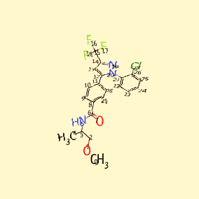 COCC(C)NC(=O)c1ccc(-c2cc(C(F)(F)F)nn2-c2ccccc2Cl)cc1